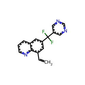 C=Cc1cc(C(F)(F)c2cncnc2)cc2cccnc12